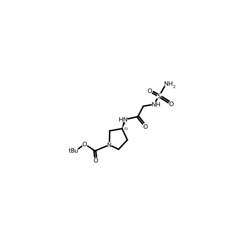 CC(C)(C)OC(=O)N1CC[C@H](NC(=O)CNS(N)(=O)=O)C1